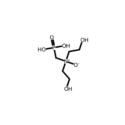 O=P(O)(O)C[N+]([O-])(CCO)CCO